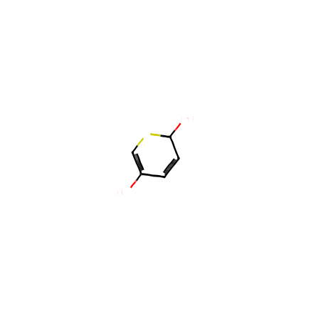 OC1=CSC(O)C=C1